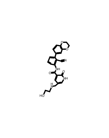 N#Cc1c(NC(=O)c2cc(CNCCO)c[nH]c2=O)cccc1-c1ccc2c(c1)OCCO2